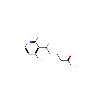 COC(=O)CCCC(N)c1c(OC)ccnc1OC.Cl